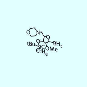 B[C@@H]1O[C@H](CN2CCOCC2)C(O[Si](C)(C)C(C)(C)C)C1OC